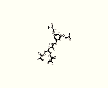 C=C(C)C(=O)OCC(COC(=O)C(=C)C)OC(=O)NCc1cc(OCNC)cc(OCNC)c1